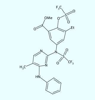 CCc1cc(N(c2ncc(C)c(Nc3ccccc3)n2)S(=O)(=O)C(F)(F)F)cc(C(=O)OC)c1OS(=O)(=O)C(F)(F)F